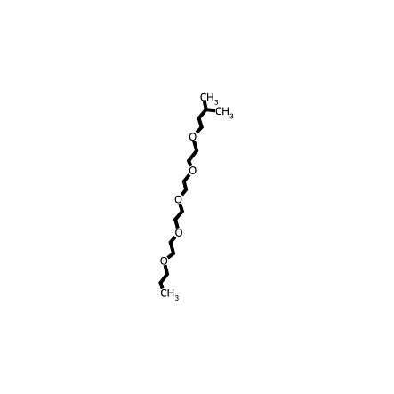 CCCOCCOCCOCCOCCOCCC(C)C